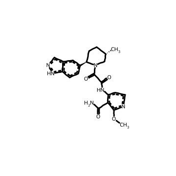 COc1nccc(NC(=O)C(=O)N2C[C@@H](C)CC[C@@H]2c2ccc3[nH]ncc3c2)c1C(N)=O